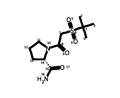 CC(C)(C)S(=O)(=O)CC(=O)N1CCC[C@H]1C(N)=O